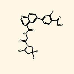 CNC(=O)c1ccc(-c2ccc3nccc(C(=O)NCC(=O)N4CC(F)(F)CC4C#N)c3c2)cc1F